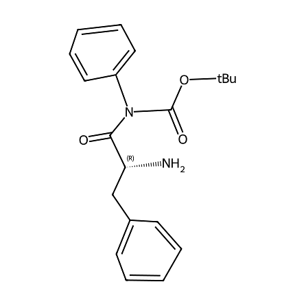 CC(C)(C)OC(=O)N(C(=O)[C@H](N)Cc1ccccc1)c1ccccc1